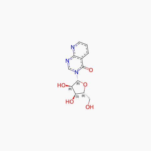 O=c1c2cccnc2ncn1[C@@H]1O[C@H](CO)[C@@H](O)[C@H]1O